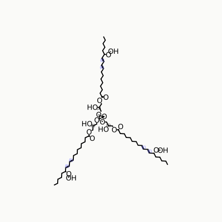 CCCCCC(/C=C/C=C/CCCCCCCC(=O)OC[C@H](O)COP(=O)(OC[C@@H](O)COC(=O)CCCCCCC/C=C/C=C/C(CCCCC)OO)OC[C@@H](O)COC(=O)CCCCCCC/C=C/C=C/C(CCCCC)OO)OO